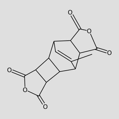 CC1=CC2C3C(=O)OC(=O)C3C1C1C3C(=O)OC(=O)C3C21